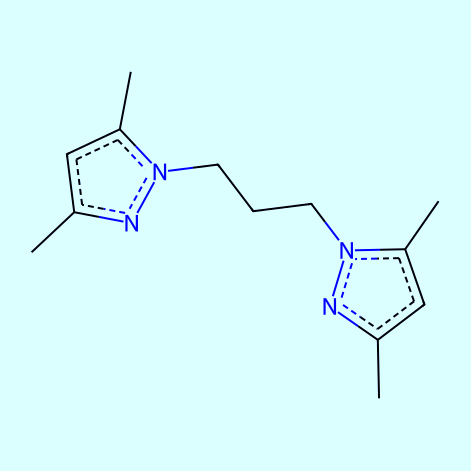 Cc1cc(C)n(CCCn2nc(C)cc2C)n1